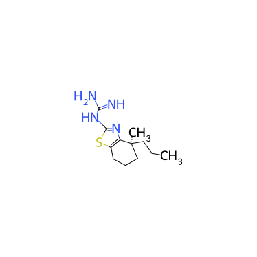 CCC[C@@]1(C)CCCc2sc(NC(=N)N)nc21